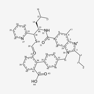 CCCc1nc2c(C)cc(C(=O)N[C@H](CC(C)C)C(SC=O)c3ccccn3)cc2n1Cc1ccc(-c2ccccc2C(=O)O)cc1